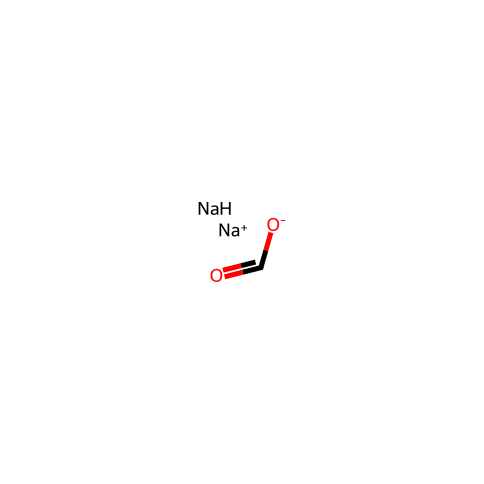 O=C[O-].[Na+].[NaH]